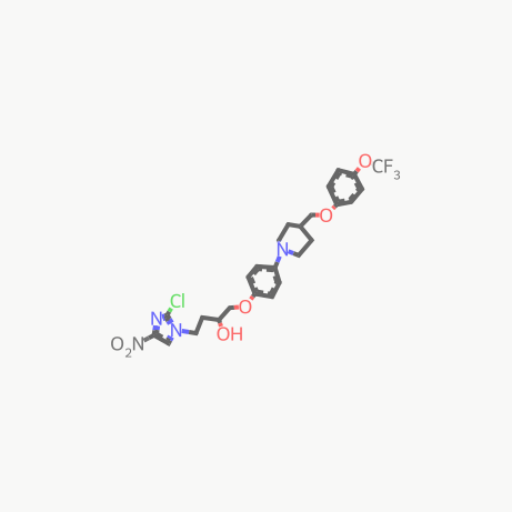 O=[N+]([O-])c1cn(CCC(O)COc2ccc(N3CCC(COc4ccc(OC(F)(F)F)cc4)CC3)cc2)c(Cl)n1